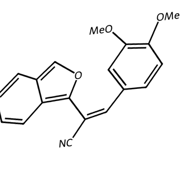 COc1ccc(/C=C(/C#N)c2occ3ccccc23)cc1OC